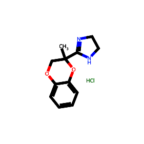 CC1(C2=NCCN2)COc2ccccc2O1.Cl